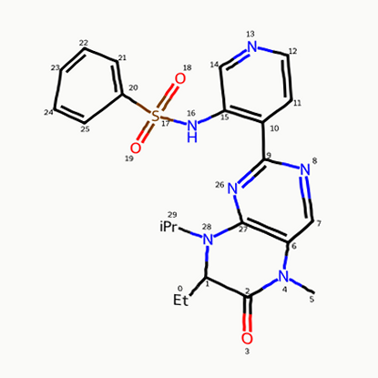 CCC1C(=O)N(C)c2cnc(-c3ccncc3NS(=O)(=O)c3ccccc3)nc2N1C(C)C